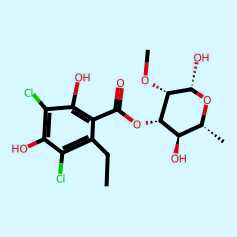 CCc1c(Cl)c(O)c(Cl)c(O)c1C(=O)O[C@H]1[C@H](O)[C@@H](C)O[C@@H](O)[C@H]1OC